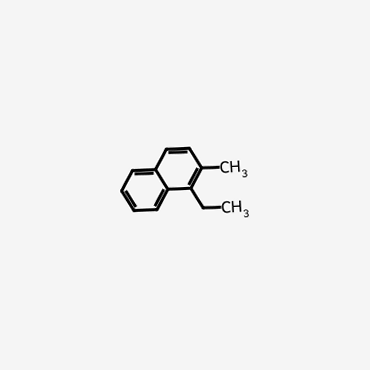 CCc1c(C)ccc2ccccc12